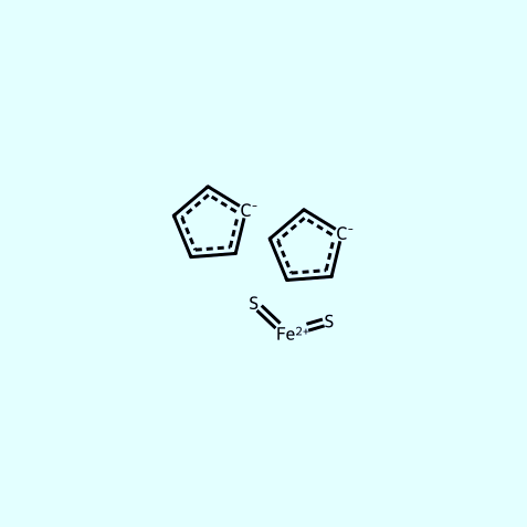 [S]=[Fe+2]=[S].c1cc[cH-]c1.c1cc[cH-]c1